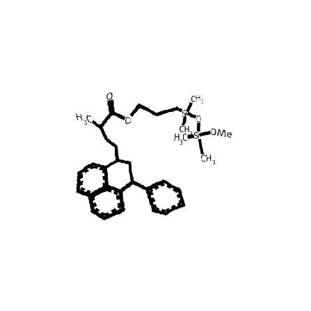 CO[Si](C)(C)O[Si](C)(C)CCCOC(=O)C(C)CCC(CC(c1ccccc1)c1ccccc1)c1ccccc1